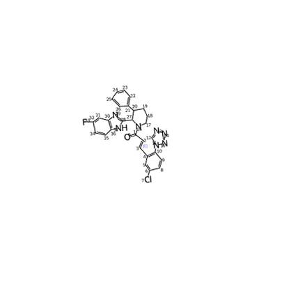 O=C(/C=C/c1cc(Cl)ccc1-n1cnnn1)N1CCCC(c2ccccc2)C1c1nc2cc(F)ccc2[nH]1